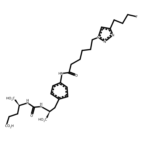 O=C(O)CC[C@H](NC(=O)N[C@@H](Cc1ccc(NC(=O)CCCCCn2cc(CCCF)nn2)cc1)C(=O)O)C(=O)O